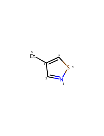 CCc1cnsc1